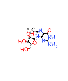 Nc1nc2c(nc(C(F)(F)F)n2[C@@H]2O[C@H](CO)[C@@H](O)[C@H]2O)c(=O)[nH]1